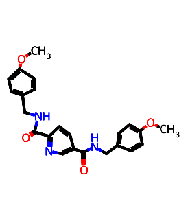 COc1ccc(CNC(=O)c2ccc(C(=O)NCc3ccc(OC)cc3)nc2)cc1